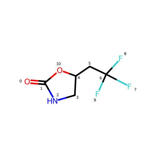 O=C1NCC(CC(F)(F)F)O1